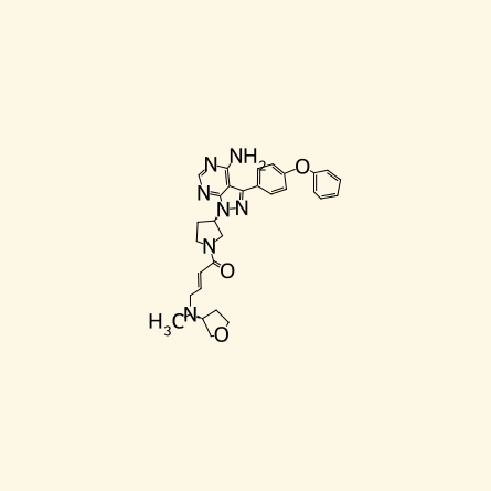 CN(CC=CC(=O)N1CC[C@@H](n2nc(-c3ccc(Oc4ccccc4)cc3)c3c(N)ncnc32)C1)[C@H]1CCOC1